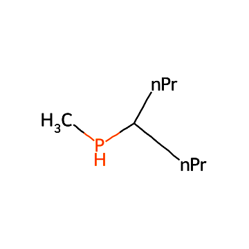 CCCC(CCC)PC